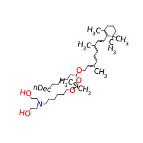 CCCCCCCCCCCCCCCC(OCC=C(C)C=CC=C(C)C=CC1=C(C)CCCC1(C)C)O[Si](C)(C)OCCCCCCN(CCO)CCO